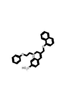 O=C(O)c1ccc(C=C(CNCCOc2ccccc2)COc2cccc3ccccc23)cc1